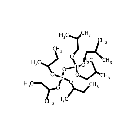 CCC(C)O[Si](OC(C)CC)(OC(C)CC)[O][Ti]([O]CC(C)C)([O]CC(C)C)[O]CC(C)C